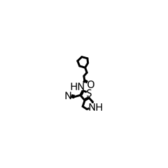 N#Cc1c(NC(=O)CCC2CCCCC2)sc2c1CCNC2